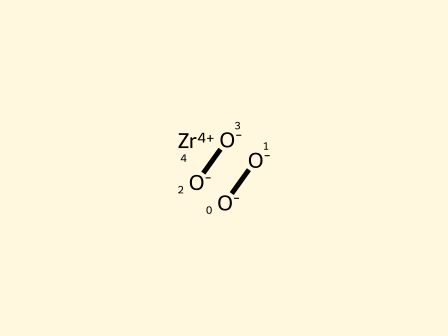 [O-][O-].[O-][O-].[Zr+4]